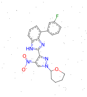 O=[N+]([O-])c1cn(C2CCCCO2)nc1-c1nc2c(-c3cccc(F)c3)cccc2[nH]1